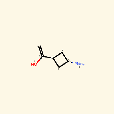 C=C(O)[C@H]1C[C@H](N)C1